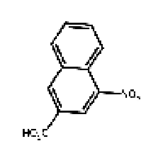 O=C(O)c1cc([N+](=O)[O-])c2ccccc2c1